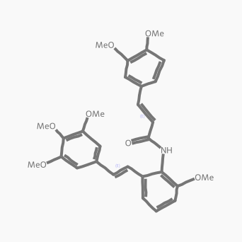 COc1ccc(/C=C/C(=O)Nc2c(/C=C/c3cc(OC)c(OC)c(OC)c3)cccc2OC)cc1OC